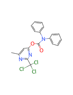 Cc1cc(OC(=O)N(c2ccccc2)c2ccccc2)nc(C(Cl)(Cl)Cl)n1